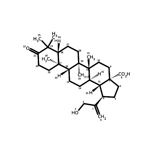 C=C(CO)[C@@H]1CC[C@]2(C(=O)O)CC[C@]3(C)[C@H](CC[C@@H]4[C@@]5(C)CCC(=O)C(C)(C)[C@@H]5CC[C@]43C)[C@@H]12